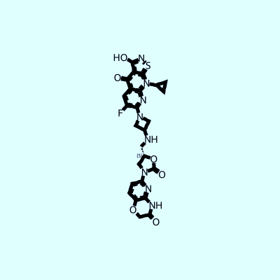 O=C1COc2ccc(N3C[C@H](CNC4CN(c5nc6c(cc5F)c(=O)c5c(O)nsc5n6C5CC5)C4)OC3=O)nc2N1